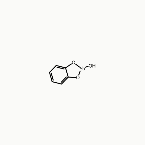 [OH][Sb]1[O]c2ccccc2[O]1